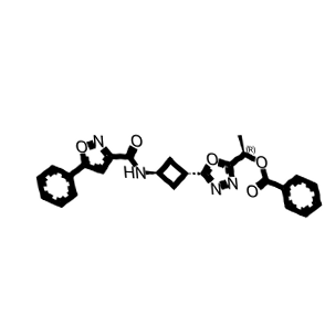 C[C@@H](OC(=O)c1ccccc1)c1nnc([C@H]2C[C@H](NC(=O)c3cc(-c4ccccc4)on3)C2)o1